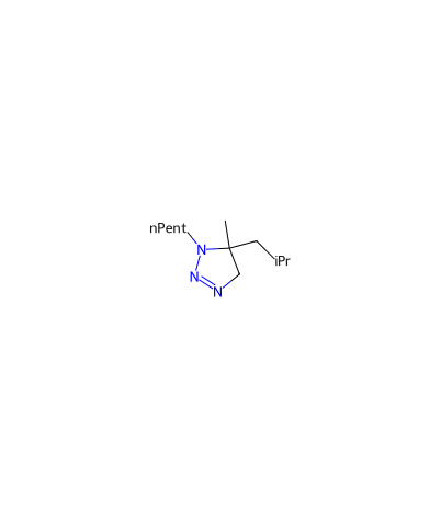 CCCCCN1N=NCC1(C)CC(C)C